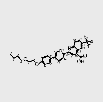 CCCCOCCOc1ccc(-c2ccc(-c3cc(C(=O)O)c4cc(C(F)(F)F)ccc4n3)nc2)cc1